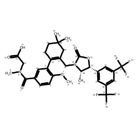 COc1ccc(C(=O)N(C)CC(=O)O)cc1C1=C(CN2C(=O)O[C@H](c3cc(C(F)(F)F)cc(C(F)(F)F)c3)[C@@H]2C)CC(C)(C)CC1